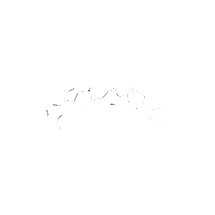 Cc1c(C(=O)Nc2ccc([C@]3(C#N)CC[C@@H](N4CCOCC4)CC3)nc2)cnn1-c1cccc(C(F)(F)F)c1